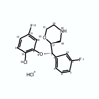 Cl.Fc1cccc([C@H](Oc2cc(F)ccc2Cl)[C@@H]2CNCCO2)c1